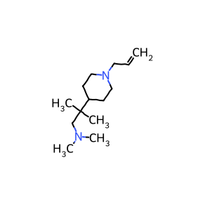 C=CCN1CCC(C(C)(C)CN(C)C)CC1